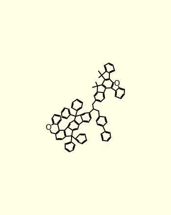 CC1(C)c2ccccc2-c2c1c1c(c3c2oc2ccccc23)-c2ccc(CC(Cc3ccc(-c4ccccc4)cc3)c3ccc4c(c3)C(c3ccccc3)(c3ccccc3)c3cc5c(cc3-4)C(c3ccccc3)(c3ccccc3)c3ccc4c(c3-5)-c3ccccc3OC4)cc2C1(C)C